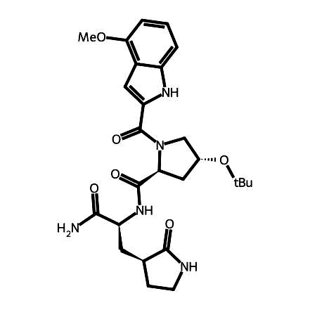 COc1cccc2[nH]c(C(=O)N3C[C@H](OC(C)(C)C)C[C@H]3C(=O)N[C@@H](C[C@@H]3CCNC3=O)C(N)=O)cc12